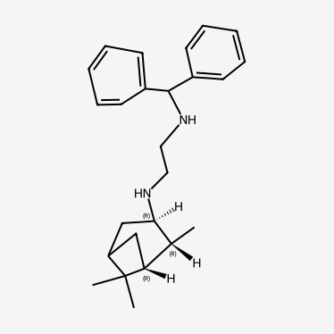 C[C@@H]1[C@H]2CC(C[C@H]1NCCNC(c1ccccc1)c1ccccc1)C2(C)C